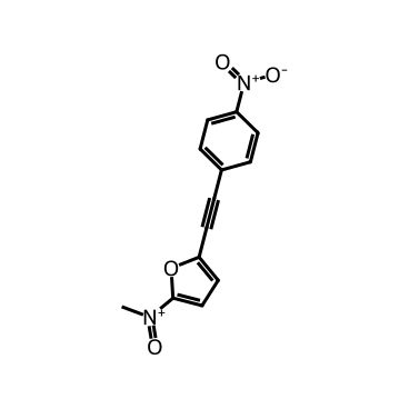 C[N+](=O)c1ccc(C#Cc2ccc([N+](=O)[O-])cc2)o1